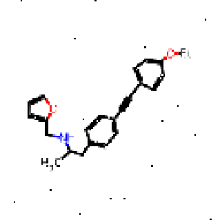 CCOc1ccc(C#Cc2ccc(CC(C)NCc3ccco3)cc2)cc1